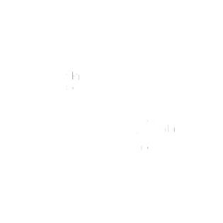 CCCOC(=O)C=Cc1ccc(OCCC)cc1